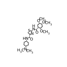 COc1cc(OC)c(C(=O)Nc2nc(C(=O)Nc3ccc(N(C)C)cc3)cs2)cc1OC